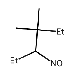 CCC(N=O)C(C)(C)CC